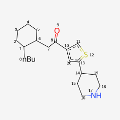 CCCCC1CCCCC1CC(=O)c1csc(C2CCNCC2)c1